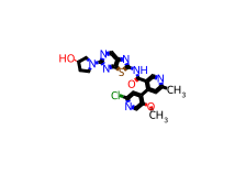 COc1cnc(Cl)cc1-c1cc(C)ncc1C(=O)Nc1nc2cnc(N3CC[C@H](O)C3)nc2s1